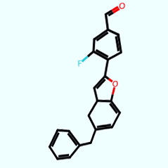 O=Cc1ccc(C2=CC3CC(Cc4ccccc4)=CC=C3O2)c(F)c1